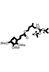 COc1ccc(/C=C/C(=O)OCCC(C)C[SiH2]C(O[Si](C)(C)C)O[Si](C)(C)C)c(OC)c1OC